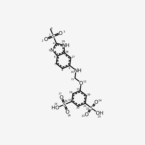 CS(=O)(=O)c1nc2ccc(NCOc3cc(S(=O)(=O)O)cc(S(=O)(=O)O)c3)cc2[nH]1